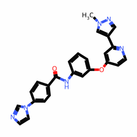 Cn1cc(-c2cc(Oc3cccc(NC(=O)c4ccc(-n5ccnc5)cc4)c3)ccn2)cn1